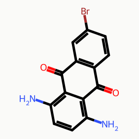 Nc1ccc(N)c2c1C(=O)c1ccc(Br)cc1C2=O